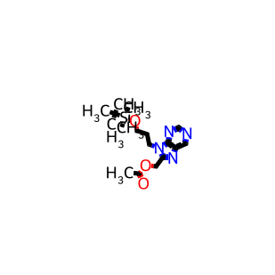 CC(=O)OCc1nc2cncnc2n1CCCO[Si](C)(C)C(C)(C)C